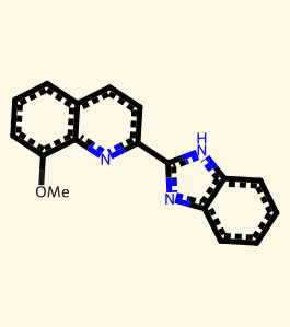 COc1cccc2ccc(-c3nc4ccccc4[nH]3)nc12